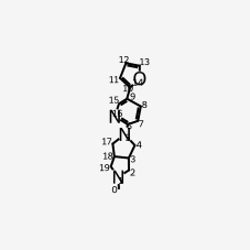 CN1CC2CN(c3ccc(-c4ccco4)cn3)CC2C1